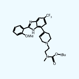 COc1ccccc1-c1nc2cc(C(F)(F)F)cc(C3=CCN(CCN(C)C(=O)OC(C)(C)C)CC3)c2[nH]1